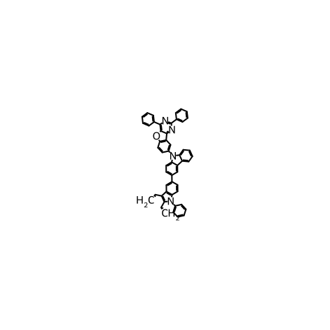 C=Cc1c(C=C)n(-c2ccccc2)c2ccc(-c3ccc4c(c3)c3ccccc3n4-c3ccc4oc5c(-c6ccccc6)nc(-c6ccccc6)nc5c4c3)cc12